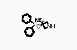 CC(C)(C)[Si](OC1(C#N)CNC1)(c1ccccc1)c1ccccc1